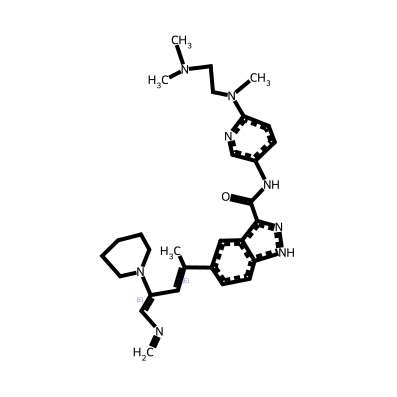 C=N/C=C(\C=C(/C)c1ccc2[nH]nc(C(=O)Nc3ccc(N(C)CCN(C)C)nc3)c2c1)N1CCCCC1